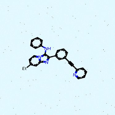 CCc1ccn2c(Nc3ccccc3)c(-c3cccc(C#Cc4ccccn4)c3)nc2c1